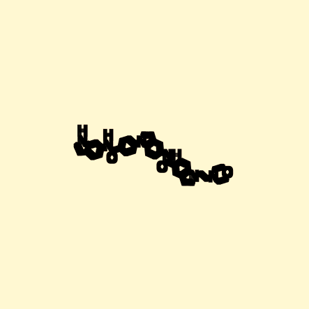 O=C(Nc1ccc2cc[nH]c2c1)c1ccc(-n2ccc3cc(NC(=O)c4ccc5c(ccn5CCN5CCOCC5)c4)ccc32)cc1